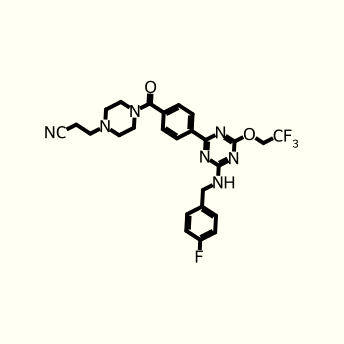 N#CCCN1CCN(C(=O)c2ccc(-c3nc(NCc4ccc(F)cc4)nc(OCC(F)(F)F)n3)cc2)CC1